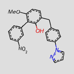 COc1ccc(Cc2ccc(-n3cccn3)cc2)c(O)c1-c1cccc([N+](=O)[O-])c1